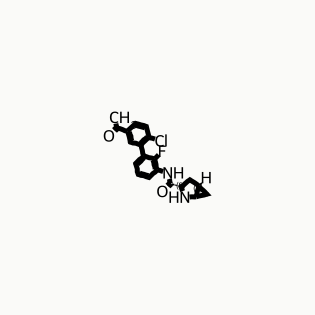 CC(=O)c1ccc(Cl)c(-c2cccc(NC(=O)[C@@H]3C[C@H]4CC4N3)c2F)c1